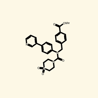 COC(=O)c1ccc(CN(C(=O)N2CCS(=O)(=O)CC2)c2ccc(-c3cccnc3)cc2)cc1